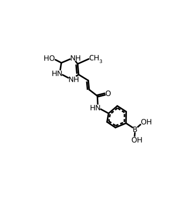 CC1=C(/C=C/C(=O)Nc2ccc(B(O)O)cc2)NNC(O)N1